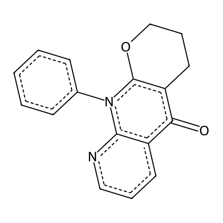 O=c1c2c(n(-c3ccccc3)c3ncccc13)OCCC2